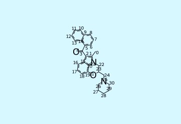 Cc1c(C(=O)c2cccc3ccccc23)c2cccc3c2n1CC(CN1CCCCC1)O3